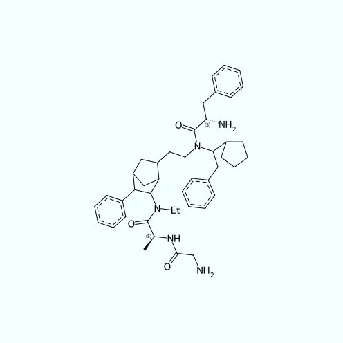 CCN(C(=O)[C@H](C)NC(=O)CN)C1C2CC(CC2CCN(C(=O)[C@@H](N)Cc2ccccc2)C2C3CCC(C3)C2c2ccccc2)C1c1ccccc1